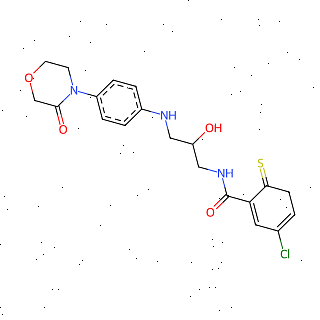 O=C(NCC(O)CNc1ccc(N2CCOCC2=O)cc1)C1=CC(Cl)=CCC1=S